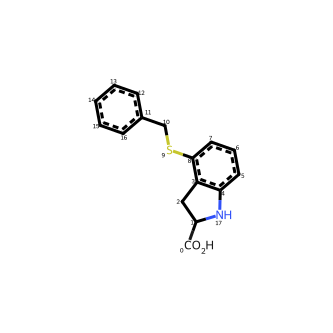 O=C(O)C1Cc2c(cccc2SCc2ccccc2)N1